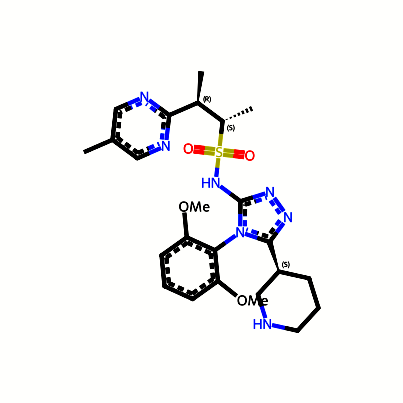 COc1cccc(OC)c1-n1c(NS(=O)(=O)[C@@H](C)[C@H](C)c2ncc(C)cn2)nnc1[C@H]1CCCNC1